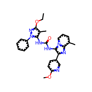 CCOc1nn(-c2ccccc2)c(NC(=O)Nc2c(-c3ccc(OC)nc3)nc3c(C)cccn23)c1C